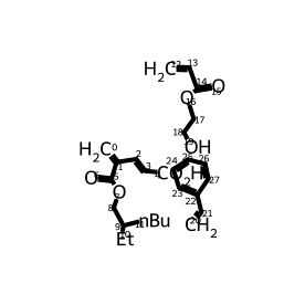 C=C(C=CC(=O)O)C(=O)OCC(CC)CCCC.C=CC(=O)OCCO.C=Cc1ccccc1